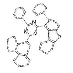 c1ccc(-c2nc(-c3cc4ccccc4c4ccccc34)nc(-c3c(-c4ccccc4)ccc4oc5ccccc5c34)n2)cc1